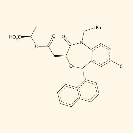 C[C@@H](OC(=O)C[C@@H]1O[C@@H](c2cccc3ccccc23)c2cc(Cl)ccc2N(CC(C)(C)C)C1=O)C(=O)O